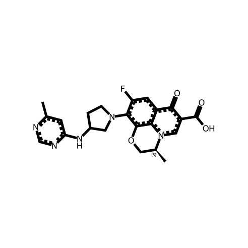 Cc1cc(NC2CCN(c3c(F)cc4c(=O)c(C(=O)O)cn5c4c3OC[C@@H]5C)C2)ncn1